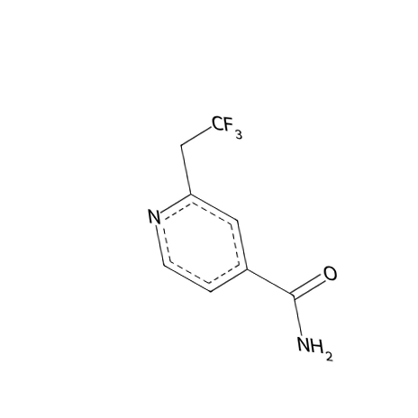 NC(=O)c1ccnc(CC(F)(F)F)c1